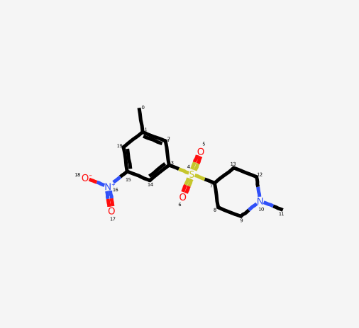 Cc1[c]c(S(=O)(=O)C2CCN(C)CC2)cc([N+](=O)[O-])c1